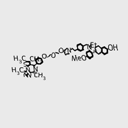 CCN(Cc1ccc(CCN2CC[C@@H](OCCOCCOc3ccc(C4=N[C@@H](C)c5nnc(C)n5-c5sc(C)c(C)c54)cc3)C2)cc1)c1cc(OC)ccc1[C@@H]1CCc2cc(O)ccc2C1